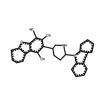 N#Cc1c(C2CCC(n3c4ccccc4c4ccccc43)NC2)c(C#N)c2c(oc3ccccc32)c1C#N